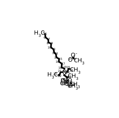 CC(=O)[O-].CCCCCCCCCCCCCCCC[N+](CCC)(CCC)CC(C)[Si](OC)(OC)OC